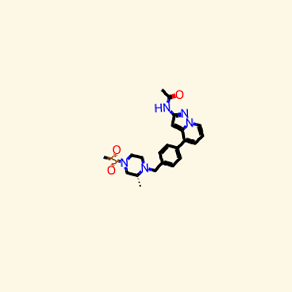 CC(=O)Nc1cc2c(-c3ccc(CN4CCN(S(C)(=O)=O)C[C@H]4C)cc3)cccn2n1